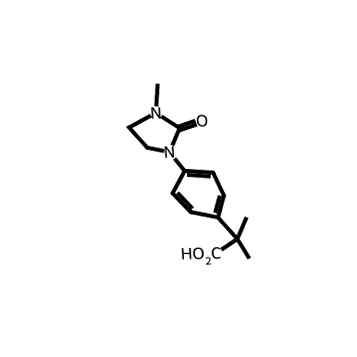 CN1CCN(c2ccc(C(C)(C)C(=O)O)cc2)C1=O